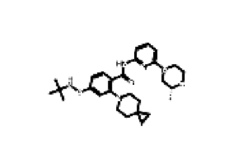 C[C@@H]1CN(c2cccc(NC(=O)c3ccc(SNC(C)(C)C)cc3N3CCC4(CC3)CC4)n2)CCO1